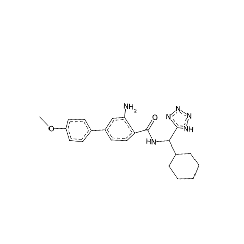 COc1ccc(-c2ccc(C(=O)NC(c3nnn[nH]3)C3CCCCC3)c(N)c2)cc1